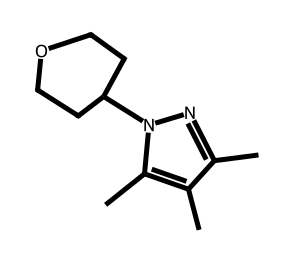 Cc1nn(C2CCOCC2)c(C)c1C